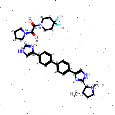 C[C@H]1CCN(C)[C@@H]1c1nc(-c2ccc(-c3ccc(-c4c[nH]c([C@@H]5CCCN5C(=O)C(=O)N5CCC(F)(F)CC5)n4)cc3)cc2)c[nH]1